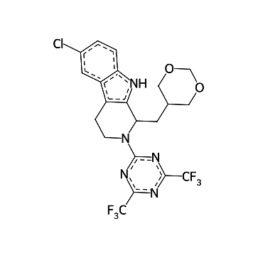 FC(F)(F)c1nc(N2CCc3c([nH]c4ccc(Cl)cc34)C2CC2COCOC2)nc(C(F)(F)F)n1